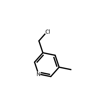 Cc1cncc(CCl)c1